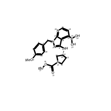 COc1ccc(Cn2nc(N[C@@H]3CCN(C(=O)OC(C)(C)C)C3)c3c(B(O)O)ccnc32)cc1